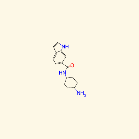 NC1CCC(NC(=O)c2ccc3cc[nH]c3c2)CC1